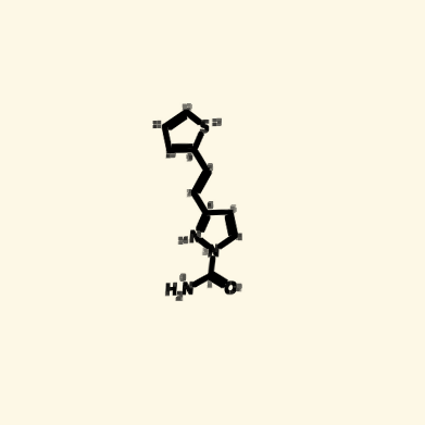 NC(=O)n1ccc(/C=C/c2cccs2)n1